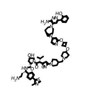 Cc1ncsc1-c1ccc([C@H](CCN)NC(=O)[C@@H]2C[C@@H](O)CN2C(=O)[C@@H](c2cc(N3CCC(CN4CCC(O[C@H]5C[C@H](Oc6cc(N7CC8CCN(c9cc(-c%10ccccc%10O)nnc9N)CC7C8)ccn6)C5)CC4)CC3)no2)C(C)C)cc1